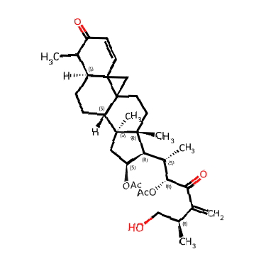 C=C(C(=O)[C@H](OC(C)=O)[C@@H](C)[C@H]1[C@@H](OC(C)=O)C[C@@]2(C)[C@@H]3CC[C@H]4C(C)C(=O)C=CC45CC35CC[C@]12C)[C@@H](C)CO